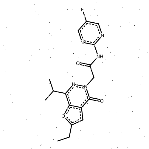 CCc1cc2c(=O)n(CC(=O)Nc3ncc(F)cn3)nc(C(C)C)c2o1